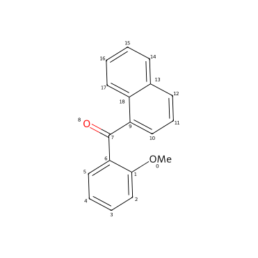 COc1ccccc1C(=O)c1cccc2ccccc12